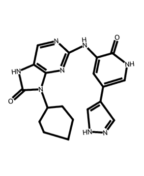 O=c1[nH]cc(-c2cn[nH]c2)cc1Nc1ncc2[nH]c(=O)n(C3CCCCC3)c2n1